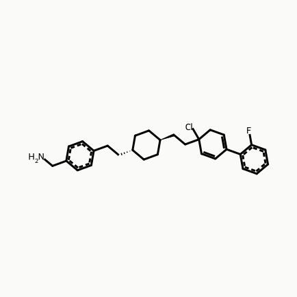 NCc1ccc(CC[C@H]2CC[C@H](CCC3(Cl)C=CC(c4ccccc4F)=CC3)CC2)cc1